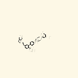 CN1CC2CCN(CCc3ccc(C(N)=O)c(-c4ccc(S(=O)(=O)N5CCN(c6cc(C(F)(F)F)cc(Cl)n6)CC5)cc4)c3)C2C1